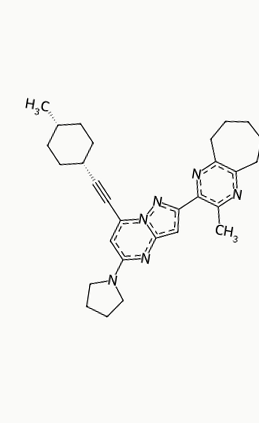 Cc1nc2c(nc1-c1cc3nc(N4CCCC4)cc(C#C[C@H]4CC[C@@H](C)CC4)n3n1)CCCCC2